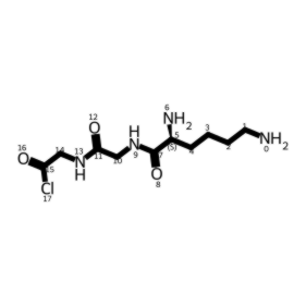 NCCCC[C@H](N)C(=O)NCC(=O)NCC(=O)Cl